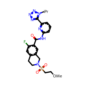 COCCS(=O)(=O)N1CCc2cc(F)c(C(=O)Nc3cccc(-c4nnnn4C(C)C)n3)cc2C1